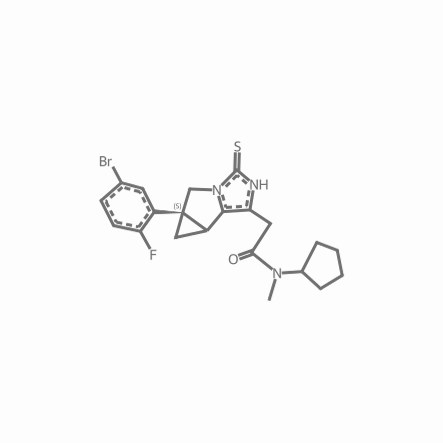 CN(C(=O)Cc1[nH]c(=S)n2c1C1C[C@]1(c1cc(Br)ccc1F)C2)C1CCCC1